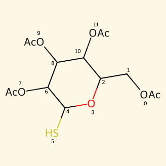 CC(=O)OCC1OC(S)C(OC(C)=O)C(OC(C)=O)C1OC(C)=O